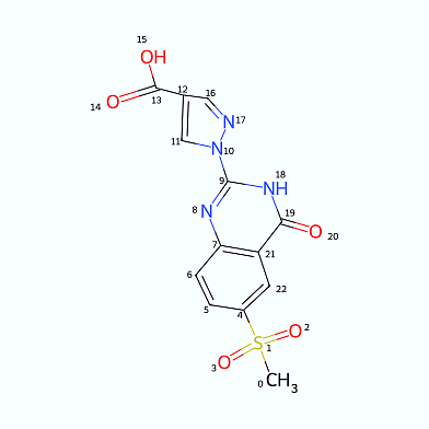 CS(=O)(=O)c1ccc2nc(-n3cc(C(=O)O)cn3)[nH]c(=O)c2c1